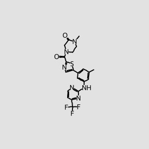 Cc1cc(Nc2nccc(C(F)(F)F)n2)cc(-c2cnc(C(=O)N3CCN(C)C(=O)C3)s2)c1